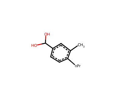 CCCc1ccc(C(O)O)cc1C